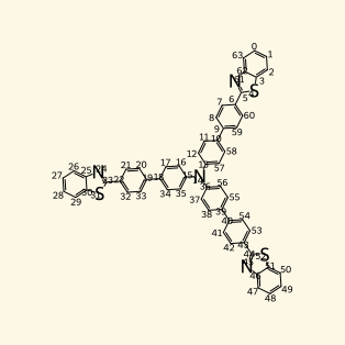 c1ccc2sc(-c3ccc(-c4ccc(N(c5ccc(-c6ccc(-c7nc8ccccc8s7)cc6)cc5)c5ccc(-c6ccc(-c7nc8ccccc8s7)cc6)cc5)cc4)cc3)nc2c1